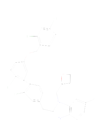 O=C(O)c1ccc2nc(Cc3ccc(-c4cc(OCc5ccc(Cl)cc5F)ccc4F)c(F)c3)n(CC3CCO3)c2c1